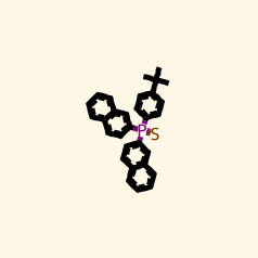 CC(C)(C)c1ccc(P(=S)(c2ccc3ccccc3c2)c2ccc3ccccc3c2)cc1